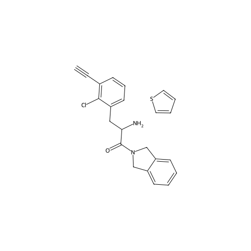 C#Cc1cccc(CC(N)C(=O)N2Cc3ccccc3C2)c1Cl.c1ccsc1